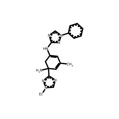 CCn1cnc(C2(N)C=C(C)C=C(Nc3ncn(-c4ccccc4)n3)C2)n1